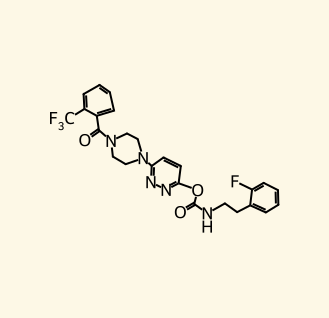 O=C(NCCc1ccccc1F)Oc1ccc(N2CCN(C(=O)c3ccccc3C(F)(F)F)CC2)nn1